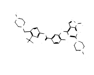 Cc1ccc(C(=O)Nc2ccc(CN3CCN(C)CC3)c(C(F)(F)F)c2)cc1Oc1nc(N2CCN(C)CC2)nc2c1cnn2C